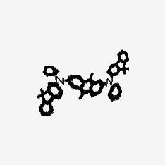 Cc1c2ccc(N(c3ccccc3)c3ccc4c(c3)C(C)(C)c3ccccc3-4)cc2c(C)c2ccc(N(c3ccccc3)c3ccc4c(c3)C(C)(C)c3ccccc3-4)cc12